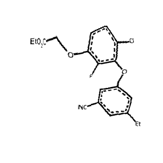 CCOC(=O)COc1ccc(Cl)c(Oc2cc(C#N)cc(CC)c2)c1F